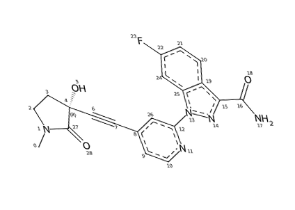 CN1CC[C@@](O)(C#Cc2ccnc(-n3nc(C(N)=O)c4ccc(F)cc43)c2)C1=O